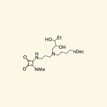 CCCCCCCCCCCCCCN(CCCNc1c(NC)c(=O)c1=O)CC(O)C(O)CC